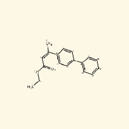 CCOC(=O)/C=C(/C)c1ccc(-c2ccccc2)cc1